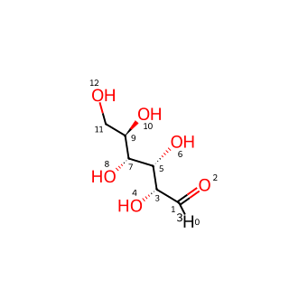 [3H]C(=O)[C@H](O)[C@@H](O)[C@H](O)[C@H](O)CO